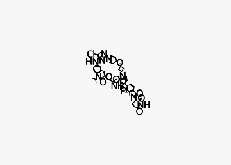 CC(C)n1c(=O)c(OCC(N)O)cc2cc(Nc3nc(N4CCC(O[C@H]5C[C@H](N6CCC(F)(c7ccc8c(c7F)CN(C7CCC(=O)NC7=O)C8=O)CC6)C5)CC4)ncc3Cl)ccc21